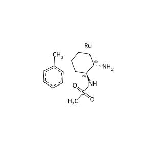 CS(=O)(=O)N[C@H]1CCCC[C@@H]1N.Cc1ccccc1.[Ru]